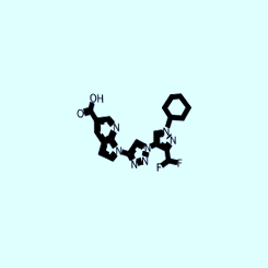 O=C(O)c1cnc2c(ccn2-c2cn(-c3cn(C4CCCCC4)nc3C(F)F)nn2)c1